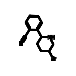 N#Cc1ccccc1C1CCC(Br)CN1